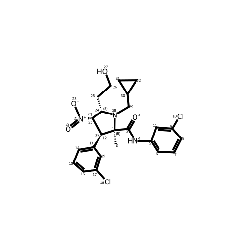 C[C@]1(C(=O)Nc2cccc(Cl)c2)[C@@H](c2cccc(Cl)c2)[C@H]([N+](=O)[O-])[C@H](CCO)N1CC1CC1